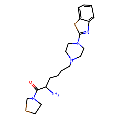 NC(CCCCN1CCN(c2nc3ccccc3s2)CC1)C(=O)N1CCSC1